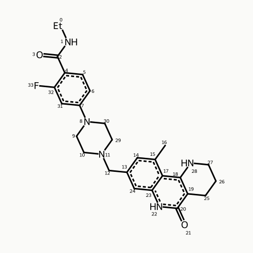 CCNC(=O)c1ccc(N2CCN(Cc3cc(C)c4c5c(c(=O)[nH]c4c3)CCCN5)CC2)cc1F